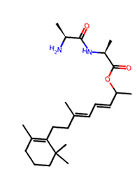 CC1=C(CC/C(C)=C/C=C/C(C)OC(=O)[C@H](C)NC(=O)[C@H](C)N)C(C)(C)CCC1